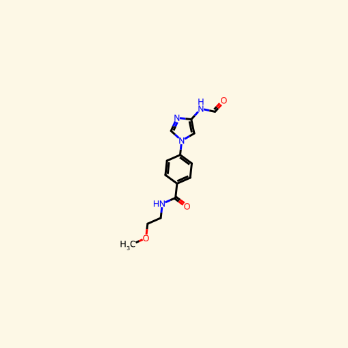 COCCNC(=O)c1ccc(-n2cnc(NC=O)c2)cc1